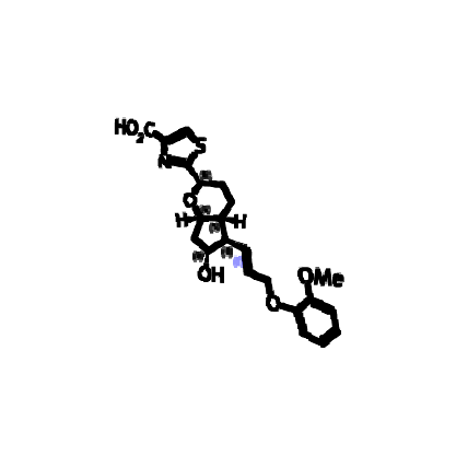 COc1ccccc1OC/C=C/[C@@H]1[C@H]2CC[C@H](c3nc(C(=O)O)cs3)O[C@H]2C[C@H]1O